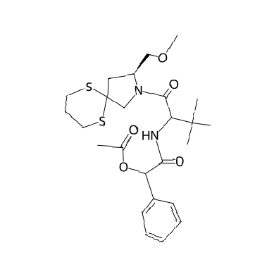 COC[C@@H]1CC2(CN1C(=O)C(NC(=O)C(OC(C)=O)c1ccccc1)C(C)(C)C)SCCCS2